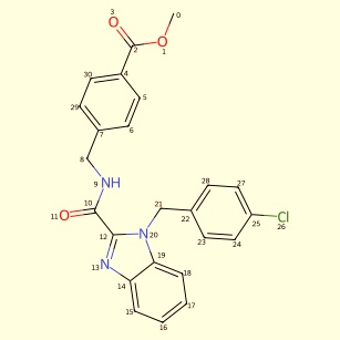 COC(=O)c1ccc(CNC(=O)c2nc3ccccc3n2Cc2ccc(Cl)cc2)cc1